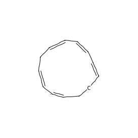 [C]1=CCCC=CC=CC=CCC=C1